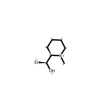 CC[C@H](O)[C@H]1CCCCN1C